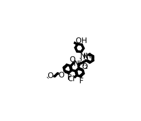 COCCOc1ccc(C(N)=O)c(-c2c(Cl)c(F)cc3c2[C@H](C)[C@@](CNC2CCC(C)(O)CC2)(c2ccccn2)O3)c1F